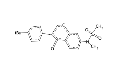 CN(c1ccc2c(=O)c(-c3ccc(C(C)(C)C)cc3)coc2c1)S(C)(=O)=O